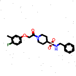 Cc1cc(OCC(=O)N2CCC(S(=O)(=O)NCc3ccccc3)CC2)ccc1F